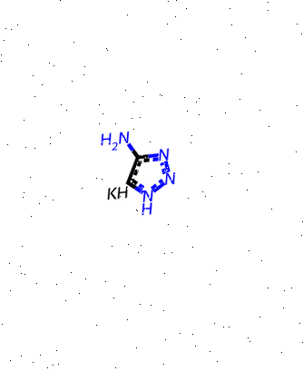 Nc1c[nH]nn1.[KH]